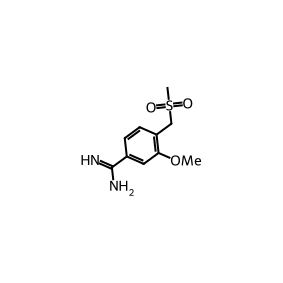 COc1cc(C(=N)N)ccc1CS(C)(=O)=O